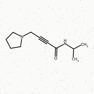 CC(C)NC(=O)C#CCN1CCCC1